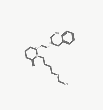 C=C1CCC[C@H](CC[C@H](CO)Cc2ccccc2)N1CCCCOCC#N